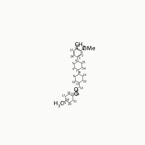 COc1cc(C2CCC(C3CCC(COOC4CCC(C)CC4)CC3)CC2)ccc1C